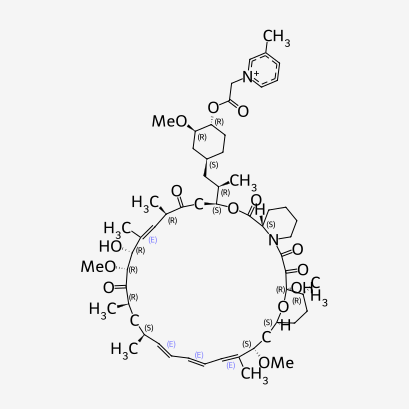 CO[C@H]1C[C@@H]2CC[C@@H](C)[C@@](O)(O2)C(=O)C(=O)N2CCCC[C@H]2C(=O)O[C@H]([C@H](C)C[C@@H]2CC[C@@H](OC(=O)C[n+]3cccc(C)c3)[C@H](OC)C2)CC(=O)[C@H](C)/C=C(\C)[C@@H](O)[C@@H](OC)C(=O)[C@H](C)C[C@H](C)/C=C/C=C/C=C/1C